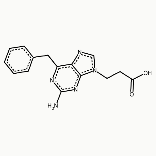 Nc1nc(Cc2ccccc2)c2ncn(CCC(=O)O)c2n1